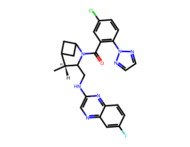 C[C@@H]1C2CC(C2)N(C(=O)c2cc(Cl)ccc2-n2nccn2)C1CNc1cnc2cc(F)ccc2n1